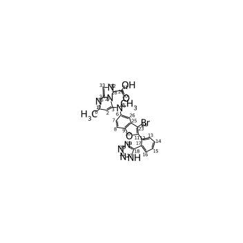 Cc1cc(N(C)c2ccc3oc(-c4ccccc4-c4nnn[nH]4)c(Br)c3c2)n2c(C(=O)O)ncc2n1